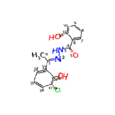 C/C(=N\NC(=O)c1ccccc1O)c1cccc(Cl)c1O